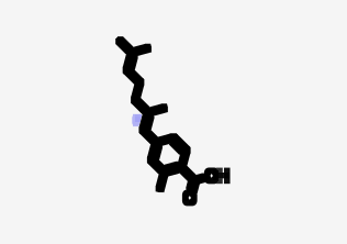 CC(C)=CCC/C(C)=C/c1ccc(C(=O)O)c(C)c1